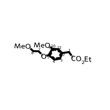 CCOC(=O)Cc1ccc(OCCOC)c(OC)c1